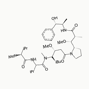 CC[C@H](C)C([C@@H](CC(=O)N1CCC[C@H]1[C@H](OC)[C@@H](C)C(=O)N[C@H](C)[C@@H](O)c1ccccc1)OC)N(C)C(=O)C(NC(=O)[C@@H](NC)C(C)C)C(C)C